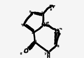 CC(C)c1ccc2c(=O)[nH]cnn12